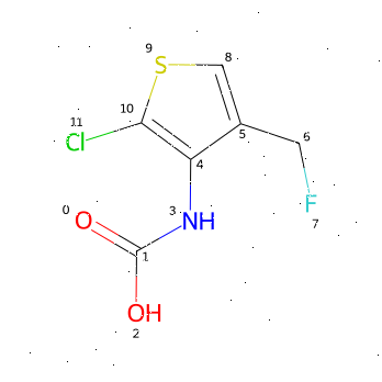 O=C(O)Nc1c(CF)csc1Cl